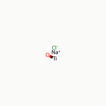 [Cl-].[Na+].[O]=[Ti]